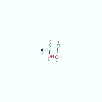 OCl.OCl.[AlH3]